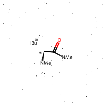 CC[C@H](C)[C@H](NC)C(=O)NC